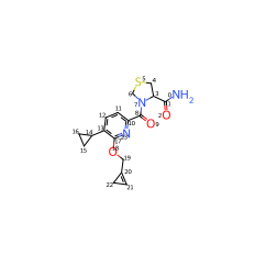 NC(=O)C1CSCN1C(=O)c1ccc(C2CC2)c(OCC2=CC2)n1